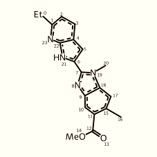 CCc1ccc2cc(-c3nc4cc(C(=O)OC)c(C)cc4n3C)[nH]c2n1